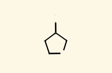 [S]C1CCSC1